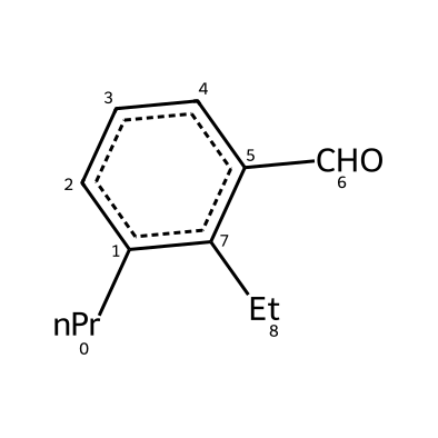 CCCc1cccc(C=O)c1CC